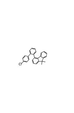 CC1(C)c2ccccc2-c2c(-c3ccccc3-c3ccc(Cl)cc3)cccc21